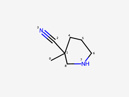 CC1(C#N)CCCNC1